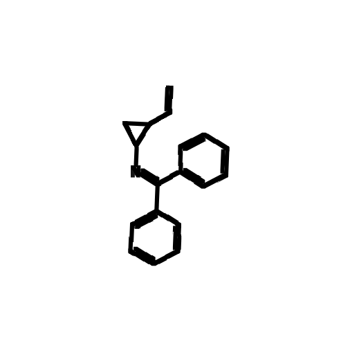 C=CC1CC1N=C(c1ccccc1)c1ccccc1